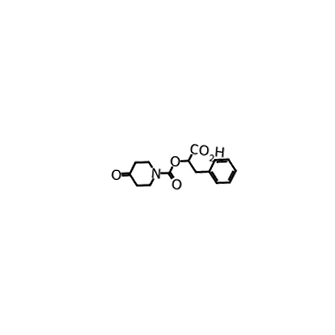 O=C1CCN(C(=O)OC(Cc2ccccc2)C(=O)O)CC1